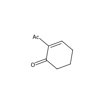 CC(=O)C1=CCCCC1=O